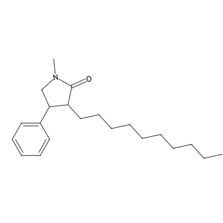 CCCCCCCCCCC1C(=O)N(C)CC1c1ccccc1